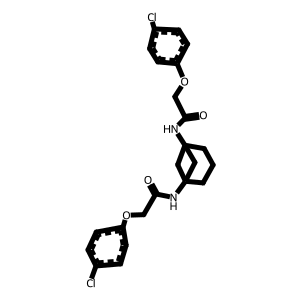 O=C(COc1ccc(Cl)cc1)NC12CCCC(NC(=O)COc3ccc(Cl)cc3)(C1)C2